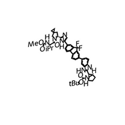 COC(=O)NC(C(=O)N1CC2(CC2)C[C@H]1c1ncc(-c2ccc3c(c2)C(F)(F)c2cc(-c4ccc5nc(C6[C@H]7CC[C@H](C7)N6C(=O)OC(C)(C)C)[nH]c5c4)ccc2-3)[nH]1)C(C)C